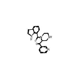 O=C(c1cccnc1)C1CNCCN1C(=O)c1cccc2c1NCC2